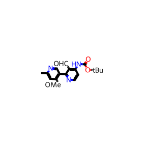 COc1cc(C)ncc1-c1nccc(NC(=O)OC(C)(C)C)c1C=O